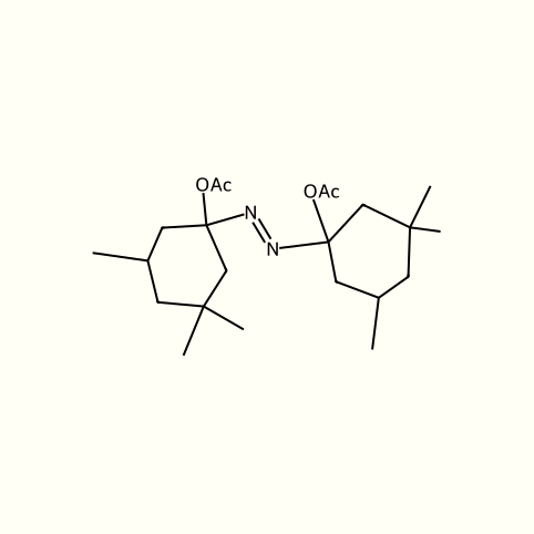 CC(=O)OC1(N=NC2(OC(C)=O)CC(C)CC(C)(C)C2)CC(C)CC(C)(C)C1